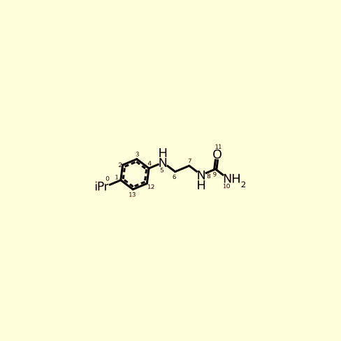 CC(C)c1ccc(NCCNC(N)=O)cc1